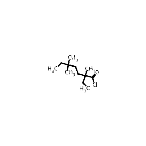 CCC(C)(C)CCC(C)(CC)C(=O)Cl